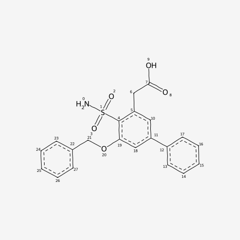 NS(=O)(=O)c1c(CC(=O)O)cc(-c2ccccc2)cc1OCc1ccccc1